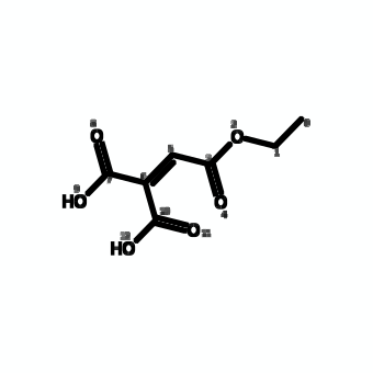 CCOC(=O)C=C(C(=O)O)C(=O)O